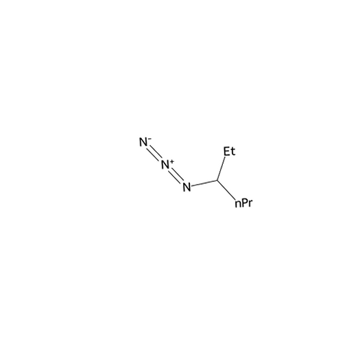 CCCC(CC)N=[N+]=[N-]